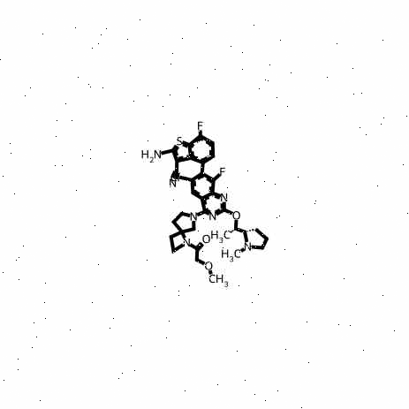 COCC(=O)N1CCC12CCN(c1nc(O[C@@H](C)[C@@H]3CCCN3C)nc3c(F)c(-c4ccc(F)c5sc(N)c(C#N)c45)c(Cl)cc13)C2